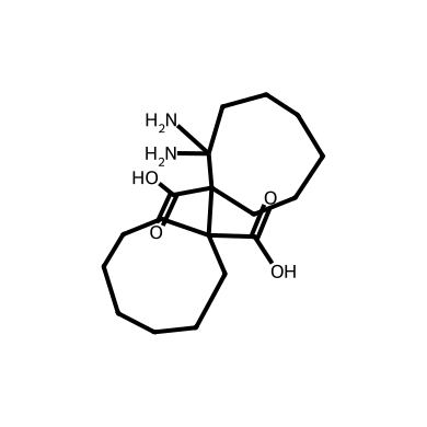 NC1(N)CCCCCCC1(C(=O)O)C1(C(=O)O)CCCCCCC1